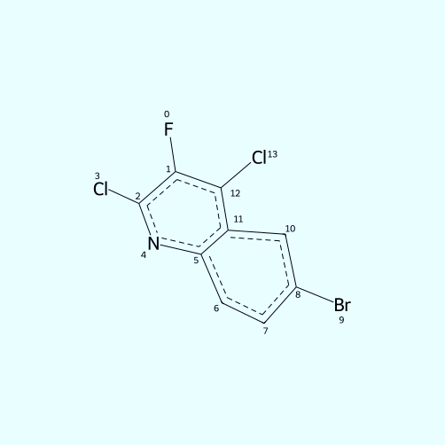 Fc1c(Cl)nc2ccc(Br)cc2c1Cl